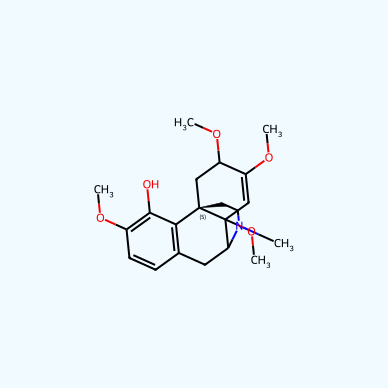 COC1=CC2(OC)C3Cc4ccc(OC)c(O)c4[C@]2(CCN3C)CC1OC